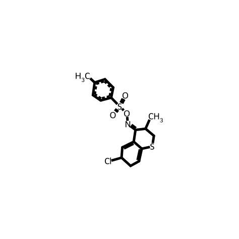 Cc1ccc(S(=O)(=O)O/N=C2/C3=CC(Cl)CC=C3SCC2C)cc1